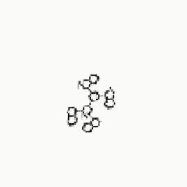 c1ccc2c(-c3cc(-c4cc(-c5cccc6ccccc56)nc(-c5cccc6ccccc56)c4)cc(-c4cncc5ccccc45)c3)cncc2c1